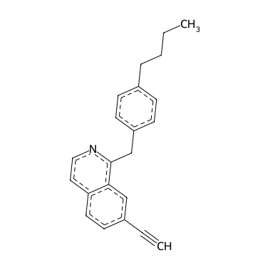 C#Cc1ccc2ccnc(Cc3ccc(CCCC)cc3)c2c1